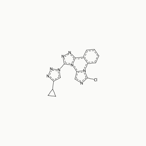 Clc1ncc2n1c1ccccc1c1nnc(-n3cc(C4CC4)nn3)n12